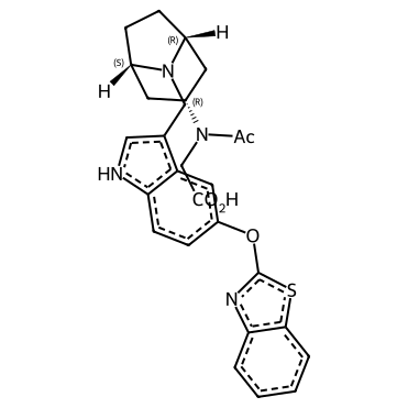 CC(=O)N(CC(=O)O)[C@H]1C[C@H]2CC[C@@H](C1)N2Cc1c[nH]c2ccc(Oc3nc4ccccc4s3)cc12